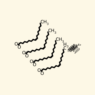 CCCCCCCC/C=C\CCCCCCCC(=O)[O-].CCCCCCCC/C=C\CCCCCCCC(=O)[O-].CCCCCCCC/C=C\CCCCCCCC(=O)[O-].CCCCCCCC/C=C\CCCCCCCC(=O)[O-].N.N.N.N.[Pt+4]